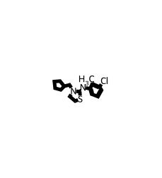 Cc1c(Cl)cccc1/N=C1\SCCN1CC1CCCC1